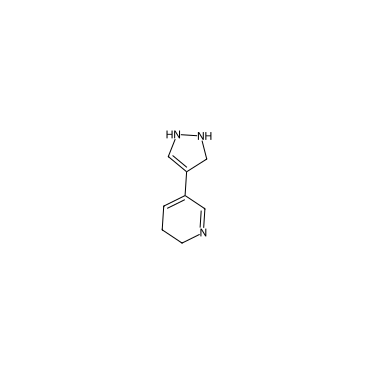 C1=NCCC=C1C1=CNNC1